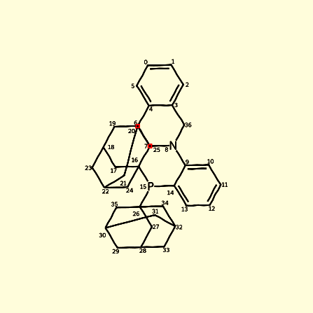 c1ccc2c(c1)CCN(c1ccccc1P(C13CC4CC(CC(C4)C1)C3)C13CC4CC(CC(C4)C1)C3)C2